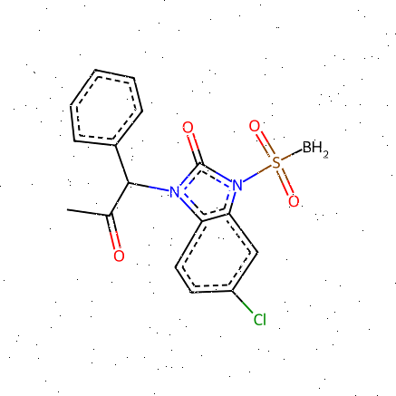 BS(=O)(=O)n1c(=O)n(C(C(C)=O)c2ccccc2)c2ccc(Cl)cc21